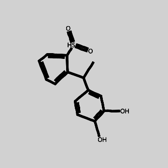 CC(c1ccc(O)c(O)c1)c1ccccc1[SH](=O)=O